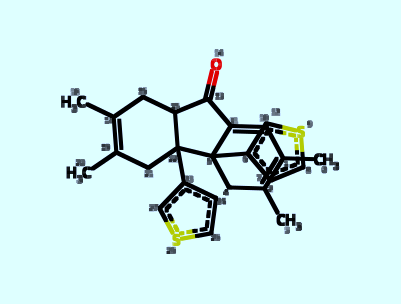 CC1=C(C)CC2(c3ccsc3)C(=C1)C(=O)C1CC(C)=C(C)CC12c1ccsc1